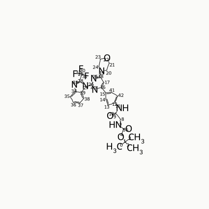 CC(C)(C)OC(=O)NCC(=O)Nc1ccc(-c2cc(N3CCOCC3)nc(-n3c(C(F)(F)F)nc4ccccc43)n2)cc1